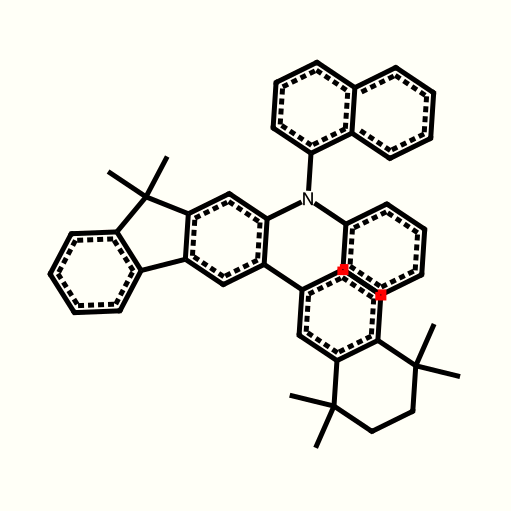 CC1(C)CCC(C)(C)c2cc(-c3cc4c(cc3N(c3ccccc3)c3cccc5ccccc35)C(C)(C)c3ccccc3-4)ccc21